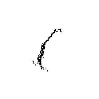 CCCCCCCCCCCCCCCOc1ccc(-c2ccc(C(=O)Oc3ccc(C(C)OCCCCC)cc3)cc2)cc1